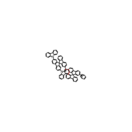 O=C(c1ccc2c(c1)C1(c3ccccc3-c3ccccc31)c1cc(C3C4C=CC3C=C4)ccc1-2)c1ccc2c(c1)C1(c3ccccc3-2)c2cc(-n3c4ccccc4c4ccccc43)ccc2-c2ccc(-n3c4ccccc4c4ccccc43)cc21